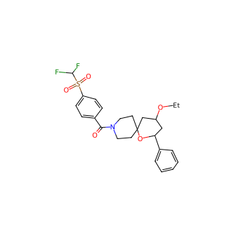 CCOC1CC(c2ccccc2)OC2(CCN(C(=O)c3ccc(S(=O)(=O)C(F)F)cc3)CC2)C1